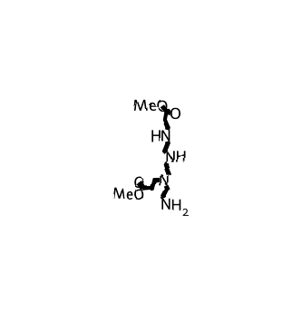 COC(=O)CCNCCNCCN(CCN)CCC(=O)OC